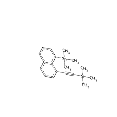 C[Si](C)(C)C#Cc1cccc2ccc[c]([Sn]([CH3])([CH3])[CH3])c12